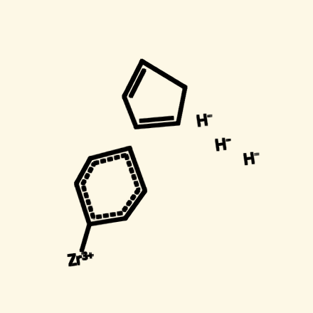 C1=CCC=C1.[H-].[H-].[H-].[Zr+3][c]1ccccc1